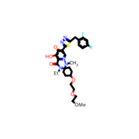 CCN1C(=O)c2c(O)c(=O)c(-c3nnc(Cc4ccc(F)cc4F)s3)cn2N(C)C12CCC(OCCOCCOC)CC2